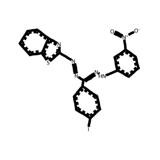 O=[N+]([O-])c1cccc(NN=C(N=Nc2nc3ccccc3s2)c2ccc(I)cc2)c1